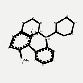 COc1cccc(C)c1-c1ccccc1P(C1CCCCC1)C1CCCCC1